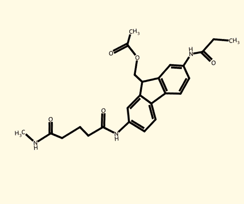 CCC(=O)Nc1ccc2c(c1)C(COC(C)=O)c1cc(NC(=O)CCCC(=O)NC)ccc1-2